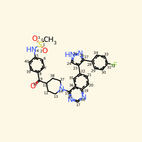 CS(=O)(=O)Nc1ccc(C(=O)C2CCN(c3ncnc4ccc(-c5c[nH]nc5-c5ccc(F)cc5)cc34)CC2)cc1